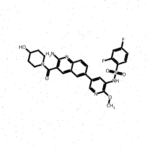 COc1ncc(-c2ccc3nc(N)c(C(=O)N4CCC(O)CC4)cc3c2)cc1NS(=O)(=O)c1ccc(F)cc1F